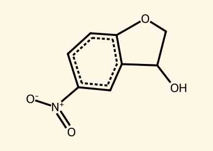 O=[N+]([O-])c1ccc2c(c1)C(O)CO2